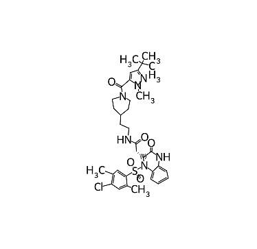 Cc1cc(S(=O)(=O)N2c3ccccc3NC(=O)[C@H]2CC(=O)NCCC2CCN(C(=O)c3cc(C(C)(C)C)nn3C)CC2)c(C)cc1Cl